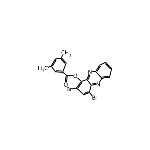 Cc1cc(C)cc(C(=O)Oc2c(Br)cc(Br)c3nc4ccccc4nc23)c1